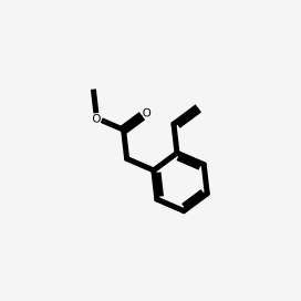 C=Cc1ccccc1CC(=O)OC